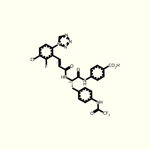 O=C(/C=C/c1c(-n2cnnn2)ccc(Cl)c1F)N[C@@H](Cc1ccc(NC(=O)C(F)(F)F)cc1)C(=O)Nc1ccc(C(=O)O)cc1